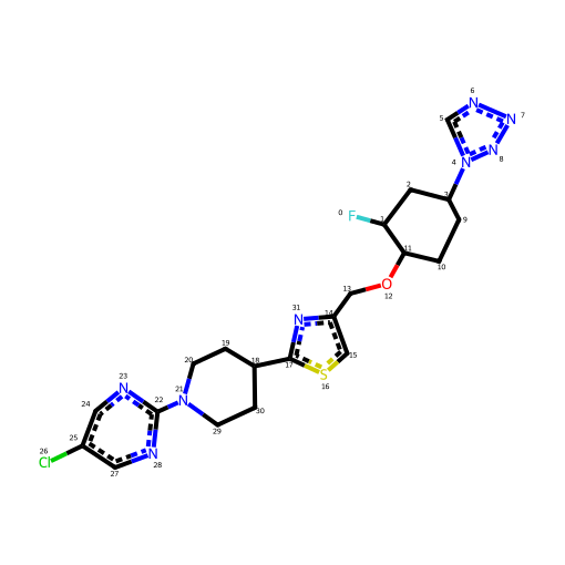 FC1CC(n2cnnn2)CCC1OCc1csc(C2CCN(c3ncc(Cl)cn3)CC2)n1